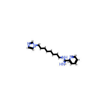 N=C(NCCCCCCCCn1ccnc1)c1ccccn1